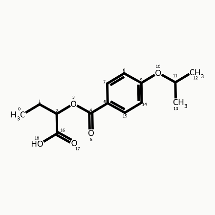 CCC(OC(=O)c1ccc(OC(C)C)cc1)C(=O)O